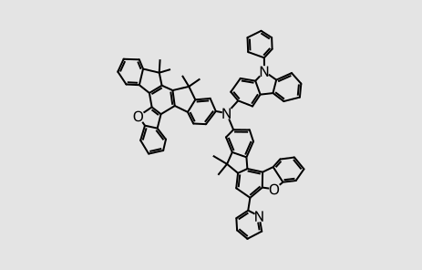 CC1(C)c2cc(N(c3ccc4c(c3)C(C)(C)c3c5c(c6oc7ccccc7c6c3-4)-c3ccccc3C5(C)C)c3ccc4c(c3)c3ccccc3n4-c3ccccc3)ccc2-c2c1cc(-c1ccccn1)c1oc3ccccc3c21